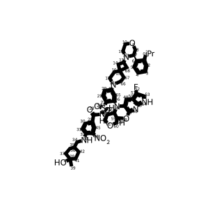 CC(C)c1ccccc1[C@@H]1COCCN1C1CC2(CCN(c3ccc(S(=O)(=O)NC(=O)c4ccc(NCC5CCC(C)(O)CC5)c([N+](=O)[O-])c4)c(N4c5cc6c(F)c[nH]c6nc5O[C@H]5COCC[C@@H]54)c3)CC2)C1